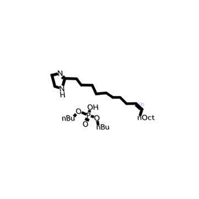 CCCCCCCC/C=C\CCCCCCCCC1=NCCN1.CCCCOP(=O)(O)OCCCC